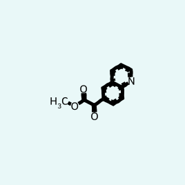 COC(=O)C(=O)c1ccc2ncccc2c1